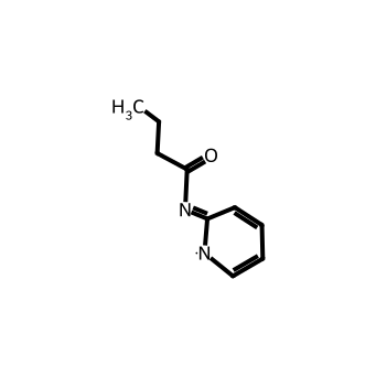 CCCC(=O)/N=C1\C=CC=C[N]1